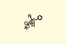 CC(C)(C)OC(=O)NCC(O)(C#N)CCc1ccccc1